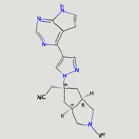 CC(C)N1C[C@@H]2C[C@](CC#N)(n3cc(-c4ncnc5[nH]ccc45)cn3)C[C@@H]2C1